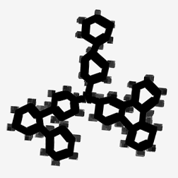 c1ccc(-c2ccc(N(c3ccc(-c4ccccc4-c4ccccc4)cc3)c3ccc4c5ccccc5c5ccccc5c4c3)cc2)cc1